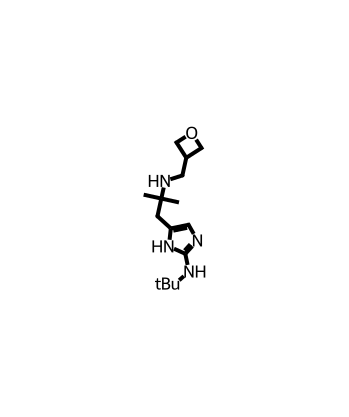 CC(C)(C)Nc1ncc(CC(C)(C)NCC2COC2)[nH]1